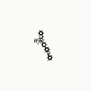 CN(C[C@@H](CO)Cc1ccccc1)C1CCC(c2ccc(OCc3ccccc3)cc2)CC1